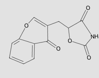 O=C1NC(=O)C(Cc2coc3ccccc3c2=O)O1